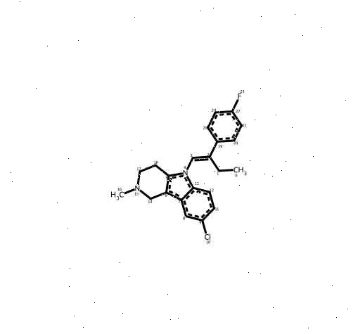 CCC(=Cn1c2c(c3cc(Cl)ccc31)CN(C)CC2)c1ccc(F)cc1